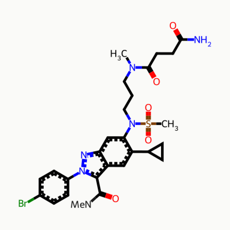 CNC(=O)c1c2cc(C3CC3)c(N(CCCN(C)C(=O)CCC(N)=O)S(C)(=O)=O)cc2nn1-c1ccc(Br)cc1